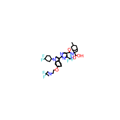 CC1CC2CC(C1)C(NC(=O)c1cnc(-c3cn(C4CCC(F)(F)CC4)c4cc(OCCN5CC(F)(F)C5)ccc34)nc1C(F)(F)F)(C(=O)O)C2